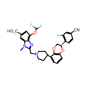 Cn1c(CN2CCC(c3cccc4c3OC[C@@H](c3ccc(C#N)cc3F)O4)CC2)nc2c(OC(F)F)cc(C(=O)O)cc21